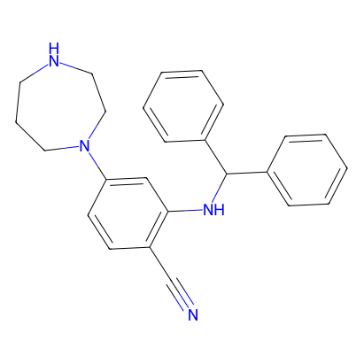 N#Cc1ccc(N2CCCNCC2)cc1NC(c1ccccc1)c1ccccc1